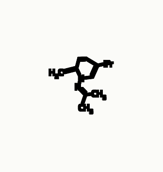 C=C1C=CC(C(C)C)=CN1N=C(C)C